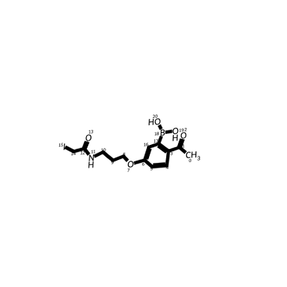 CC(=O)c1ccc(OCCCNC(=O)CI)cc1B(O)O